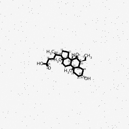 CC[C@@H]1C(=O)[C@@H]2C(CCC3(C)C2CC[C@@H]3[C@H](C)CCC(=O)O)C2(C)CC[C@@H](O)CC12